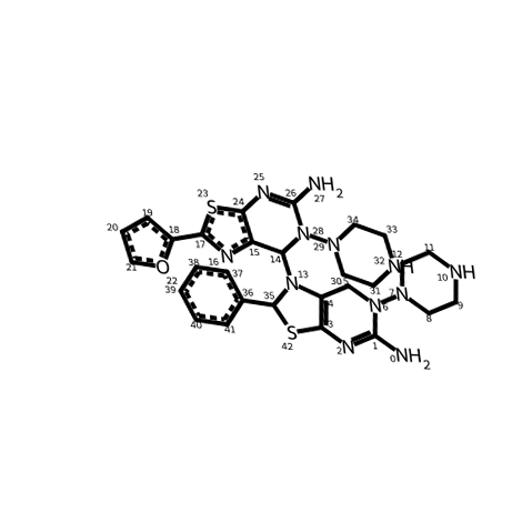 NC1=NC2=C(CN1N1CCNCC1)N(C1c3nc(-c4ccco4)sc3N=C(N)N1N1CCNCC1)C(c1ccccc1)S2